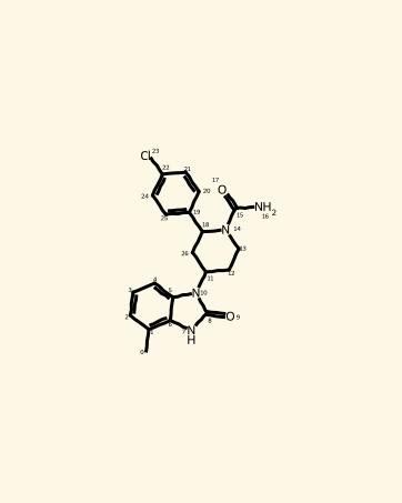 Cc1cccc2c1[nH]c(=O)n2C1CCN(C(N)=O)C(c2ccc(Cl)cc2)C1